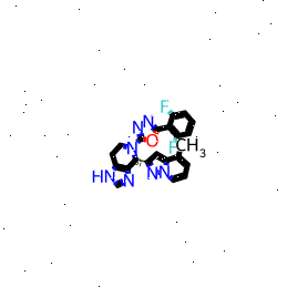 Cc1cccn2nc([C@@H]3c4nc[nH]c4CCN3c3nnc(-c4c(F)cccc4F)o3)cc12